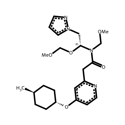 COCO[C@H](Cn1cccn1)N(COC)C(=O)Cc1cc(O[C@H]2CC[C@H](C)CC2)ccn1